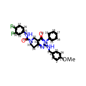 COc1ccc(CNc2nc3c(c(=O)n2-c2ccccc2)CN(C(=O)Nc2ccc(F)c(F)c2)CC3)cc1